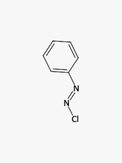 ClN=Nc1ccccc1